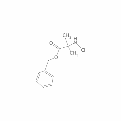 CC(C)(NCl)C(=O)OCc1ccccc1